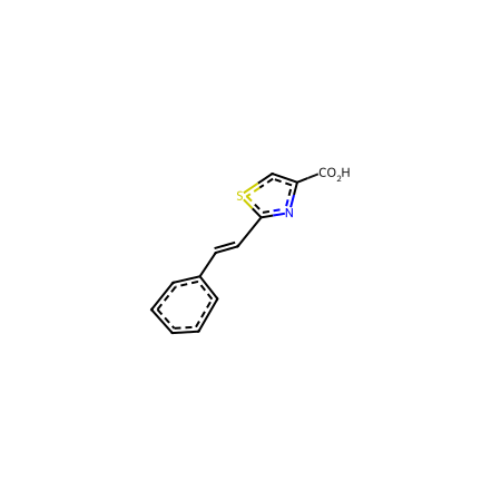 O=C(O)c1csc(C=Cc2ccccc2)n1